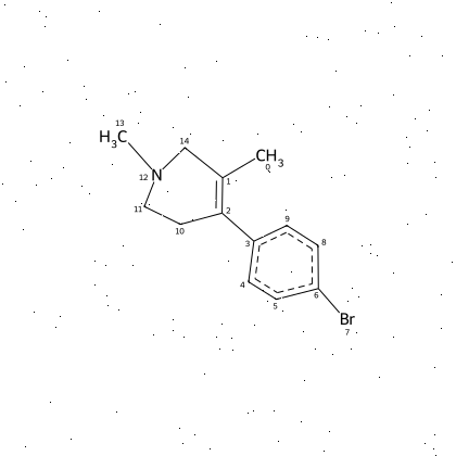 CC1=C(c2ccc(Br)cc2)CCN(C)C1